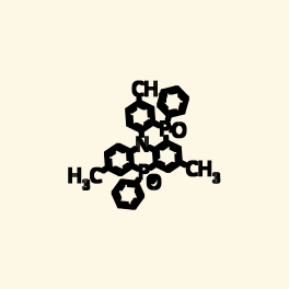 Cc1ccc2c(c1)P(=O)(c1ccccc1)c1cc(C)cc3c1N2c1ccc(C)cc1P3(=O)c1ccccc1